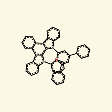 c1ccc(-c2cc(-c3ccccc3)nc(-n3c4ccccc4c4c5ccccc5c5c6ccccc6n(-c6ccccc6)c5c43)c2)cc1